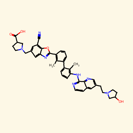 Cc1c(Nc2nccc3cc(CCN4CCC(O)C4)cnc23)cccc1-c1cccc(-c2nc3cc(CN4CCC(C(=O)O)C4)cc(C#N)c3o2)c1C